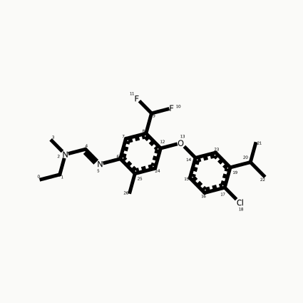 CCN(C)C=Nc1cc(C(F)F)c(Oc2ccc(Cl)c(C(C)C)c2)cc1C